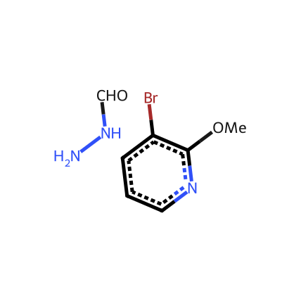 COc1ncccc1Br.NNC=O